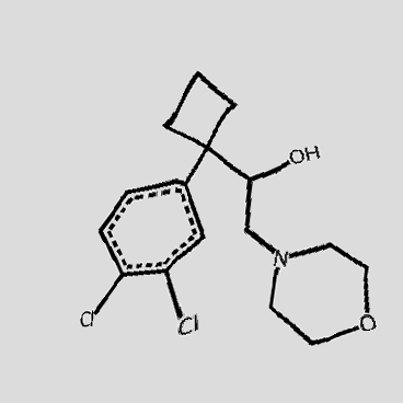 OC(CN1CCOCC1)C1(c2ccc(Cl)c(Cl)c2)CCC1